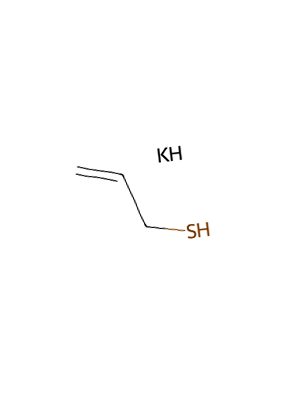 C=CCS.[KH]